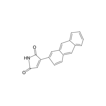 O=C1C=C(c2ccc3cc4ccccc4cc3c2)C(=O)N1